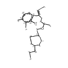 C/C=C(\CCC(C)OCC1CCC(CCC)CC1)c1ccc(C)c(F)c1Cl